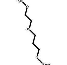 CCCC(C)OCCCNCCON